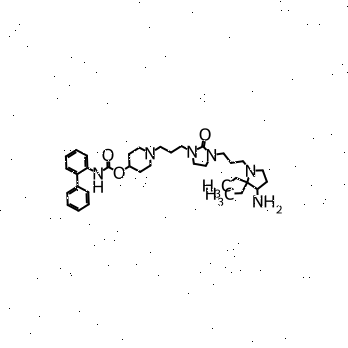 CCC1(CC)C(N)CCN1CCCN1CCN(CCCN2CCC(OC(=O)Nc3ccccc3-c3ccccc3)CC2)C1=O